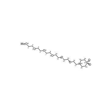 COCCOCCOCCOCCOCCOCCN1CCS(=O)(=O)CC1